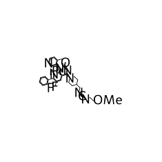 COCCN=C=NCC1CCN(c2nc(=O)n(-c3c(C)ccnc3C(C)C)c3nc(-c4ccccc4F)c(F)cc23)CC1